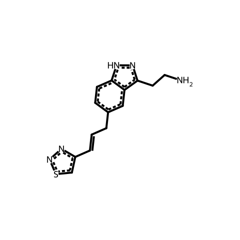 NCCc1n[nH]c2ccc(CC=Cc3csnn3)cc12